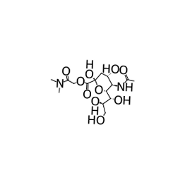 CC(=O)N[C@H]1[C@H]([C@H](O)[C@H](O)CO)O[C@](O)(C(=O)OCC(=O)N(C)C)C[C@@H]1O